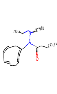 CCCCN(CCCC)N(C(=O)C(=O)O)c1ccccc1